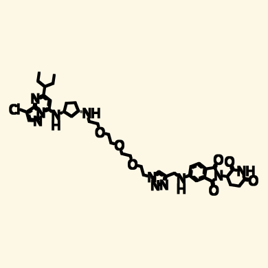 CCC(CC)c1cc(N[C@H]2CC[C@H](NCCOCCOCCOCCn3cc(CNc4ccc5c(c4)C(=O)N(C4CCC(=O)NC4=O)C5=O)nn3)C2)n2ncc(Cl)c2n1